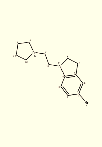 Brc1ccc2c(c1)CCN2CCN1CCCC1